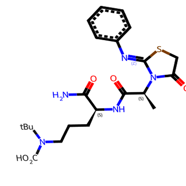 C[C@@H](C(=O)N[C@@H](CCCN(C(=O)O)C(C)(C)C)C(N)=O)N1C(=O)CS/C1=N\c1ccccc1